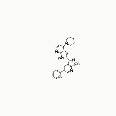 c1ccc(-c2cnc3[nH]nc(-c4cc5c(N6CCCCC6)ccnc5[nH]4)c3c2)nc1